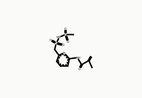 C=C(C)C(=O)Nc1cccc(CS(=O)(=O)NS(C)(=O)=O)n1